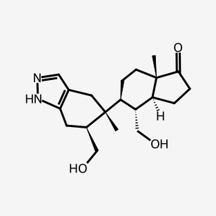 C[C@]1([C@H]2CC[C@]3(C)C(=O)CC[C@H]3[C@@H]2CO)Cc2cn[nH]c2C[C@@H]1CO